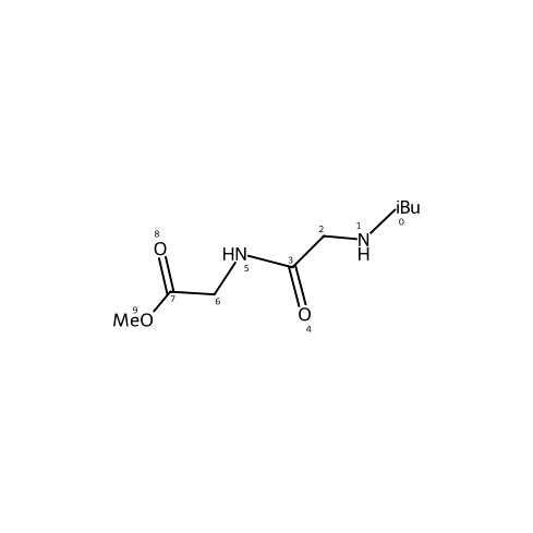 CCC(C)NCC(=O)NCC(=O)OC